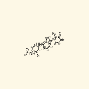 CC(=O)Nc1ccc(Nc2nccn3c(-c4ccc(F)c(F)c4F)cnc23)cc1C